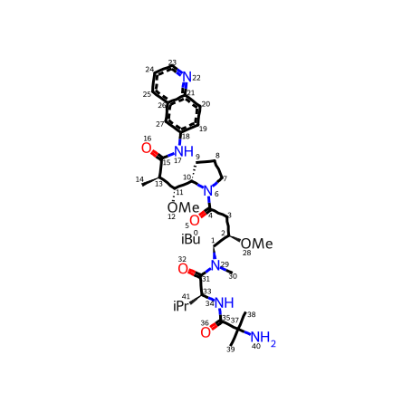 CC[C@H](C)[C@@H]([C@@H](CC(=O)N1CCC[C@H]1[C@H](OC)[C@@H](C)C(=O)Nc1ccc2ncccc2c1)OC)N(C)C(=O)[C@@H](NC(=O)C(C)(C)N)C(C)C